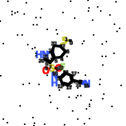 CSC1CCc2c(S(=O)(=O)Nc3ccc(C#N)cc3F)c[nH]c2C1